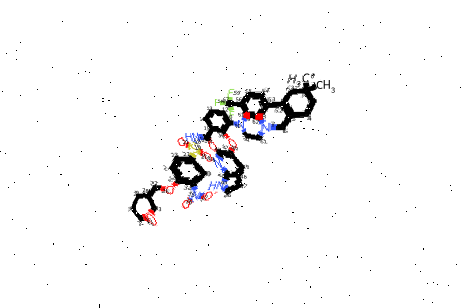 CC1(C)CCC(CN2CCN(c3cccc(C(=O)NS(=O)(=O)c4ccc(OCC5CCCOC5)c([N+](=O)[O-])c4)c3Oc3cnc4[nH]ccc4c3)CC2)=C(c2ccc(C(F)(F)F)cc2)C1